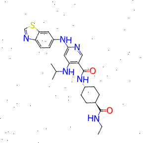 CCNC(=O)[C@H]1CC[C@H](NC(=O)c2cnc(Nc3ccc4ncsc4c3)cc2NC(C)C)CC1